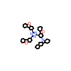 c1ccc2cc3c(cc2c1)c1ccccc1n3-c1cc(-c2nc(-c3ccc4oc5ccccc5c4c3)nc(-c3ccc4oc5ccccc5c4c3)n2)c2c(c1)oc1ccccc12